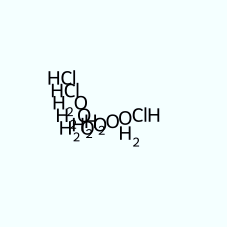 Cl.Cl.Cl.O.O.O.O.O.O